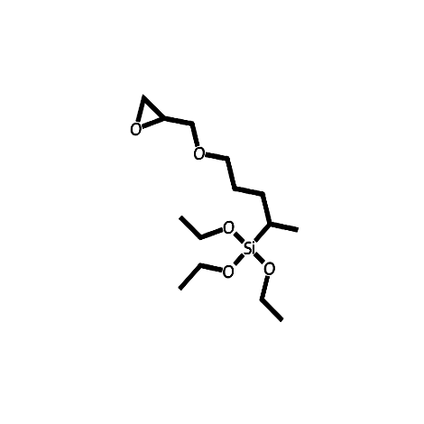 CCO[Si](OCC)(OCC)C(C)CCCOCC1CO1